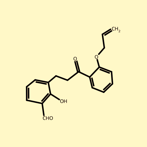 C=CCOc1ccccc1C(=O)CCc1cccc(C=O)c1O